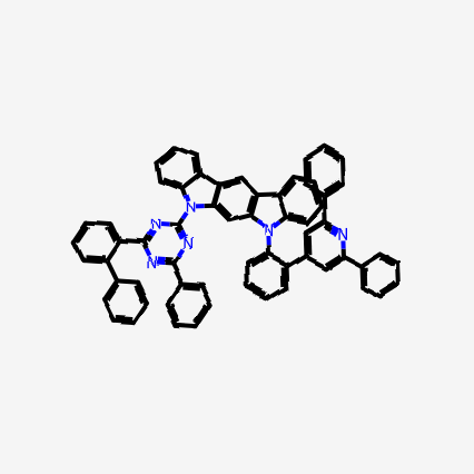 c1ccc(-c2cc(-c3ccccc3-n3c4ccccc4c4cc5c6ccccc6n(-c6nc(-c7ccccc7)nc(-c7ccccc7-c7ccccc7)n6)c5cc43)cc(-c3ccccc3)n2)cc1